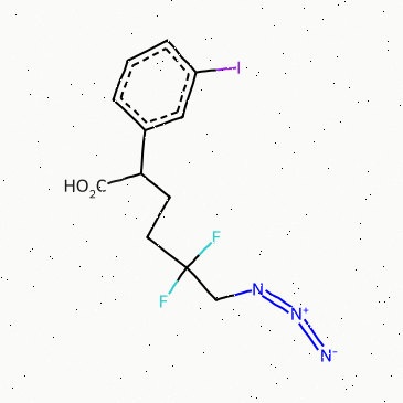 [N-]=[N+]=NCC(F)(F)CCC(C(=O)O)c1cccc(I)c1